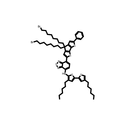 CCCCCCc1csc(-c2cc(CCCCCC)c(Bc3ccc(-c4cc5c(s4)-c4sc(-c6ccccc6)cc4C5(CCCCCCCCBr)CCCCCCCCBr)c4nsnc34)s2)c1